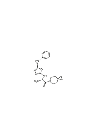 CC(Nc1nnc([C@H]2C[C@@H]2c2ccccc2)o1)C(=O)N1CCC2(CC1)CC2